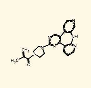 C=C(C)C(=O)N1CCN(c2ncc3c(n2)-c2cccnc2Nc2cnccc2-3)CC1